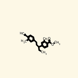 C#Cc1ccc(CCC(CC)c2ccc(C(=O)OC)c(C)c2)cc1C